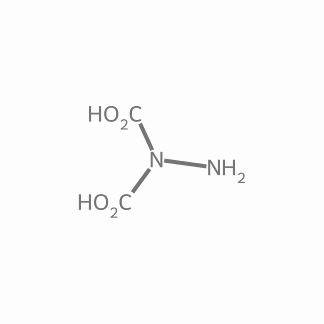 NN(C(=O)O)C(=O)O